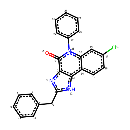 O=c1c2nc(Cc3ccccc3)[nH]c2c2ccc(Cl)cc2n1-c1ccccc1